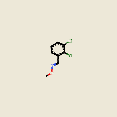 CON=Cc1cccc(Cl)c1Cl